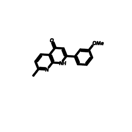 COc1cccc(-c2cc(=O)c3ccc(C)nc3[nH]2)c1